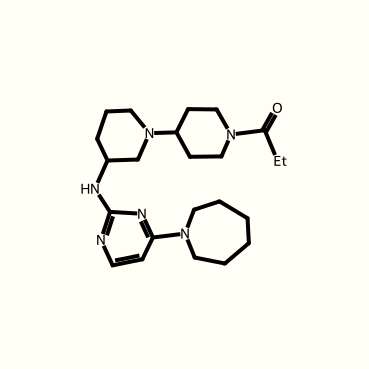 CCC(=O)N1CCC(N2CCCC(Nc3nccc(N4CCCCCC4)n3)C2)CC1